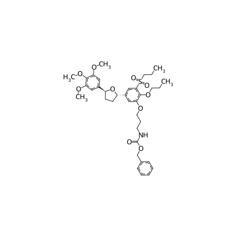 CCCOc1c(OCCCNC(=O)OCc2ccccc2)cc([C@@H]2CC[C@@H](c3cc(OC)c(OC)c(OC)c3)O2)cc1S(=O)(=O)CCC